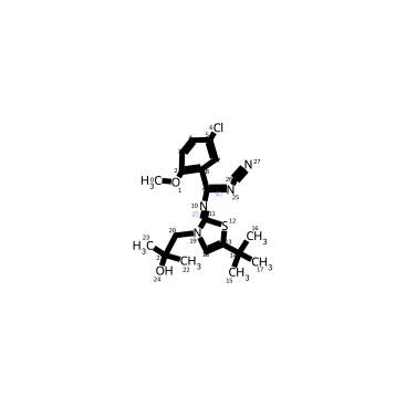 COc1ccc(Cl)cc1C(/N=c1\sc(C(C)(C)C)cn1CC(C)(C)O)=N\C#N